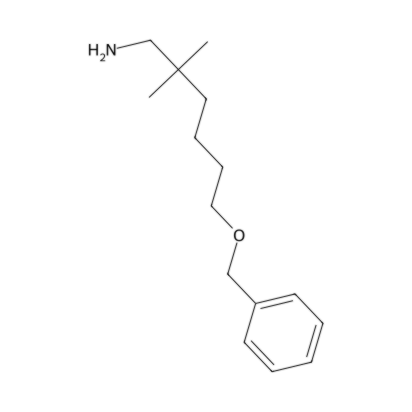 CC(C)(CN)CCCCOCc1ccccc1